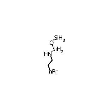 CCCCCN[SiH2]O[SiH3]